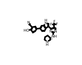 N#Cc1cc(-c2ccc3c(-c4nc(N[C@H]5CCCNC5)ncc4C(F)(F)F)c[nH]c3c2)ccc1O